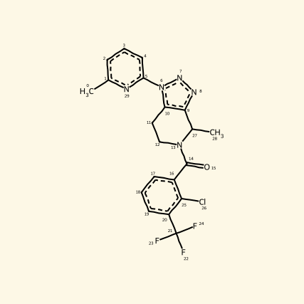 Cc1cccc(-n2nnc3c2CCN(C(=O)c2cccc(C(F)(F)F)c2Cl)C3C)n1